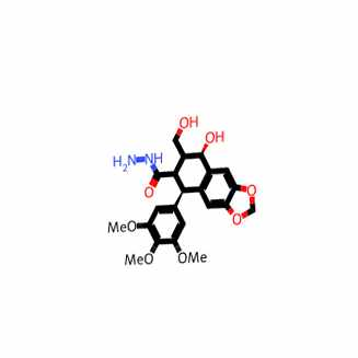 COc1cc([C@@H]2c3cc4c(cc3[C@H](O)C(CO)C2C(=O)NN)OCO4)cc(OC)c1OC